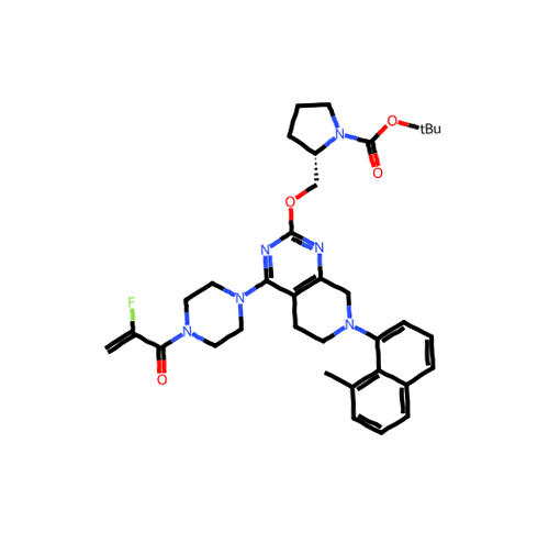 C=C(F)C(=O)N1CCN(c2nc(OC[C@@H]3CCCN3C(=O)OC(C)(C)C)nc3c2CCN(c2cccc4cccc(C)c24)C3)CC1